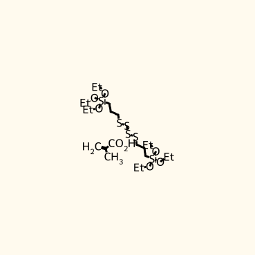 C=C(C)C(=O)O.CCO[Si](CCCSSSSCCC[Si](OCC)(OCC)OCC)(OCC)OCC